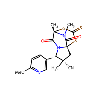 COc1ccc([C@@H]2N3C(=O)[C@]4(C)SC(=S)S[C@@]3(C[C@]2(C)C#N)C(=O)N4C)cn1